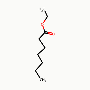 [CH2]COC(=O)CCCCCC